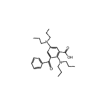 CCCN(CCC)c1cc(C(=O)O)c(N(CCC)CCC)c(C(=O)c2ccccc2)c1